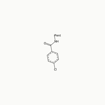 [CH2]CCC([CH2])NC(=O)c1ccc(Cl)cc1